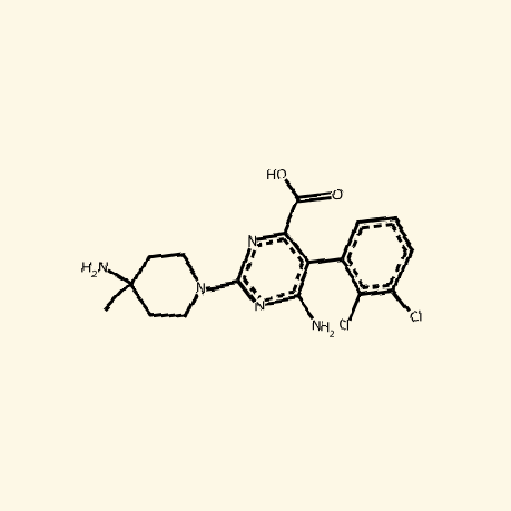 CC1(N)CCN(c2nc(N)c(-c3cccc(Cl)c3Cl)c(C(=O)O)n2)CC1